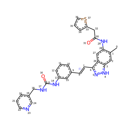 Cc1cc2[nH]nc(/C=C/c3cccc(NC(=O)NCc4cccnc4)c3)c2cc1NC(=O)Cc1cccs1